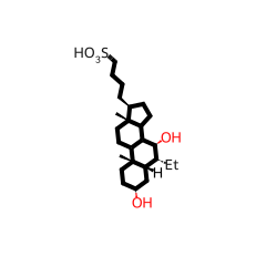 CC[C@H]1[C@@H](O)C2C3CC[C@H](CCCCS(=O)(=O)O)[C@@]3(C)CCC2[C@@]2(C)CC[C@@H](O)C[C@@H]12